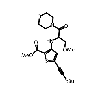 COCC(Nc1cc(C#CC(C)(C)C)sc1C(=O)OC)C(=O)N1CCOCC1